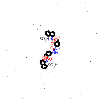 Cc1ccc(NC(=O)Nc2ccc(C)c(S(=O)(=O)Nc3c(O)ccc4cccc(S(=O)(=O)O)c34)c2)cc1S(=O)(=O)Nc1c(O)ccc2cccc(S(=O)(=O)O)c12